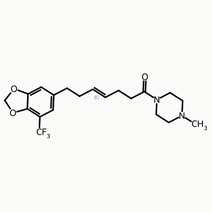 CN1CCN(C(=O)CC/C=C/CCc2cc3c(c(C(F)(F)F)c2)OCO3)CC1